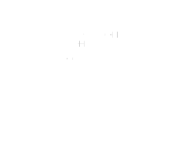 Cc1ccc(O[PH](=O)O)cc1